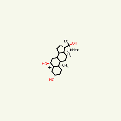 CCCCCC[C@@](O)(CC)[C@H]1CCC2C3C[C@H](O)[C@H]4C[C@@H](O)CC[C@]4(C)C3CC[C@@]21C